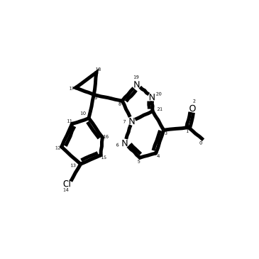 CC(=O)c1ccnn2c(C3(c4ccc(Cl)cc4)CC3)nnc12